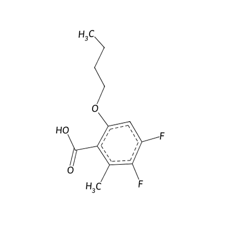 CCCCOc1cc(F)c(F)c(C)c1C(=O)O